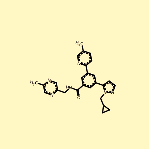 Cc1ccc(-c2cc(C(=O)NCc3cnc(C)cn3)cc(-c3ccnn3CC3CC3)c2)nc1